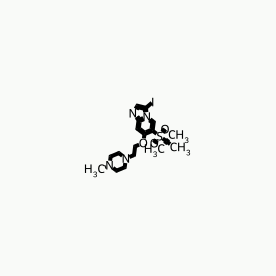 CN1CCN(CCOc2cc3ncc(I)n3cc2S(=O)(=O)C(C)(C)C)CC1